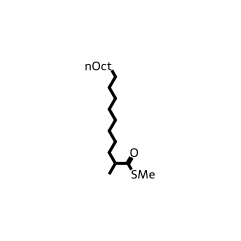 CCCCCCCCCCCCCCCCC(C)C(=O)SC